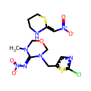 CN1COCN(Cc2cnc(Cl)s2)/C1=N/[N+](=O)[O-].O=[N+]([O-])/C=C1/NCCCS1